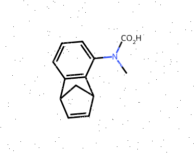 CN(C(=O)O)c1cccc2c1C1C=CC2C1